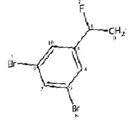 [CH2]C(F)c1cc(Br)cc(Br)c1